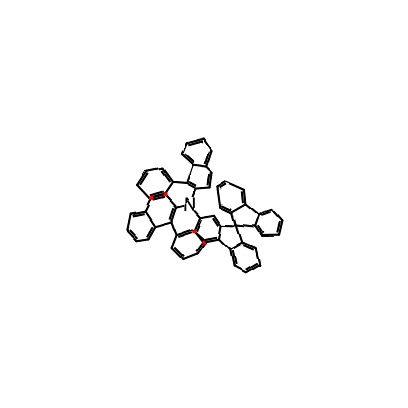 c1ccc(-c2c(N(c3ccc4c(c3)C3(c5ccccc5-c5ccccc53)c3ccccc3-4)c3ccc4ccccc4c3-c3ccccc3)ccc3ccccc23)cc1